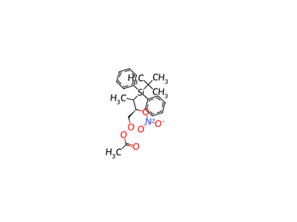 CC(=O)OOC[C@H](O[N+](=O)[O-])C(C)[Si](c1ccccc1)(c1ccccc1)C(C)(C)C